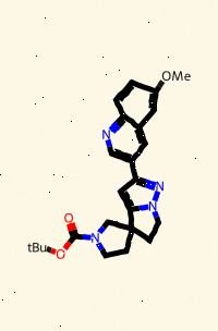 COc1ccc2ncc(-c3cc4n(n3)CCC43CCN(C(=O)OC(C)(C)C)C3)cc2c1